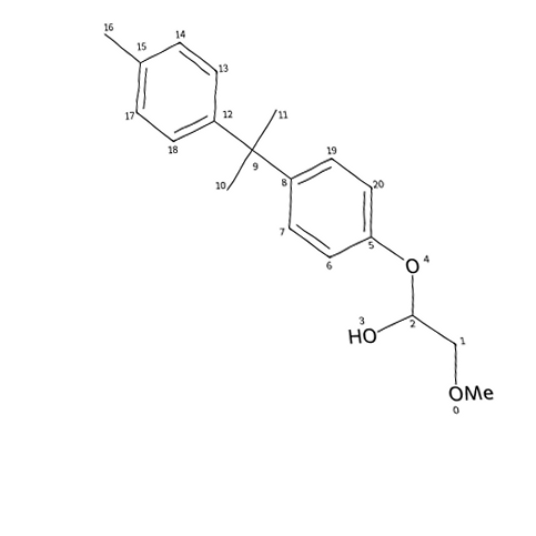 COCC(O)Oc1ccc(C(C)(C)c2ccc(C)cc2)cc1